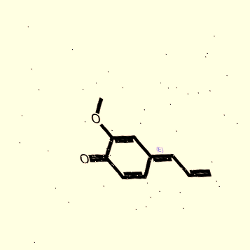 C=C/C=C1\C=CC(=O)C(OC)=C1